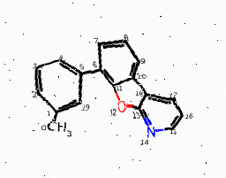 Cc1cccc(-c2cccc3c2oc2ncccc23)c1